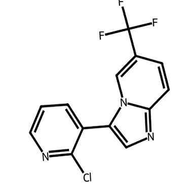 FC(F)(F)c1ccc2ncc(-c3cccnc3Cl)n2c1